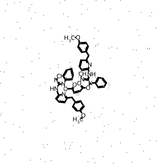 CN=C(Nc1cccc(Cc2ccc(OC)cc2)n1)N(OC(=O)/C=C\C(=O)ON(C(=NC)Nc1cccc(Cc2ccc(OC)cc2)n1)c1ccccc1)c1ccccc1